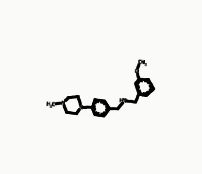 COc1cccc(CNCc2ccc(N3CCN(C)CC3)cc2)c1